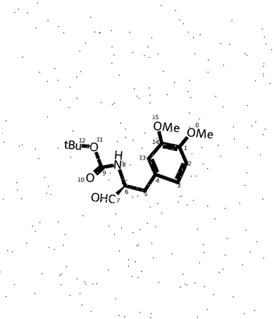 COc1ccc(C[C@@H](C=O)NC(=O)OC(C)(C)C)cc1OC